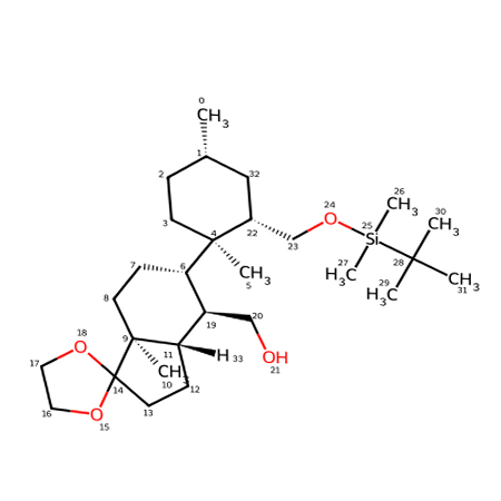 C[C@H]1CC[C@](C)([C@H]2CC[C@@]3(C)[C@@H](CCC34OCCO4)[C@@H]2CO)[C@@H](CO[Si](C)(C)C(C)(C)C)C1